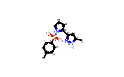 Cc1ccc(S(=O)(=O)n2cccc2-c2cc(C)[nH]n2)cc1